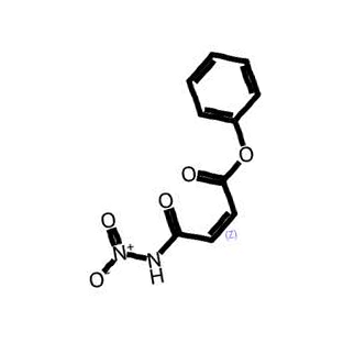 O=C(/C=C\C(=O)Oc1ccccc1)N[N+](=O)[O-]